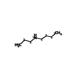 C[CH]CNCCCC